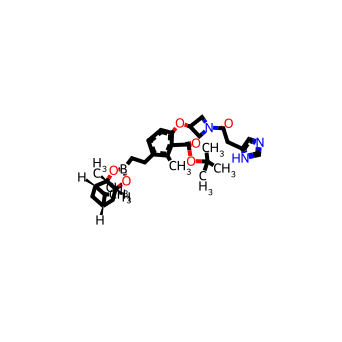 Cc1c(CCB2O[C@@H]3C[C@@H]4C[C@@H](C4(C)C)[C@]3(C)O2)ccc(OC2CN(C(=O)Cc3cnc[nH]3)C2)c1C(=O)OC(C)(C)C